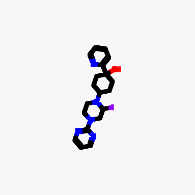 OC1(c2ccccn2)CCC(N2CCN(c3ncccn3)CC2I)CC1